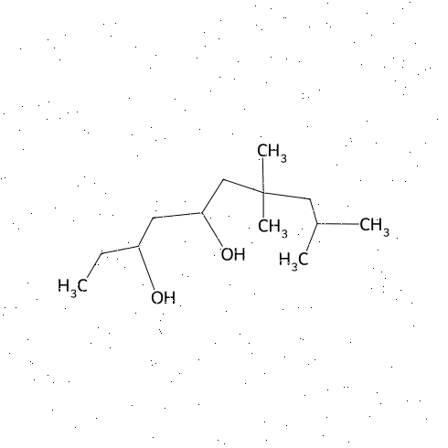 CCC(O)CC(O)CC(C)(C)CC(C)C